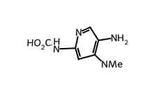 CNc1cc(NC(=O)O)ncc1N